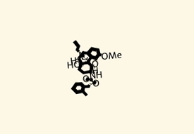 C=CCN1CC[C@]23c4c5ccc(OC)c4O[C@H]2[C@@H](NS(=O)(=O)Cc2ccccc2C)CC[C@@]3(O)[C@H]1C5